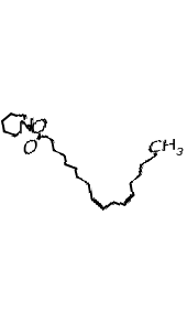 CCCCC/C=C\C/C=C\CCCCCCCC(=O)ON1CCCCC1